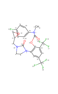 CN(C(=O)Oc1c(N2CCN(CC3CO3)C2=O)cc(C(F)(F)F)cc1C(F)(F)F)c1ccc(F)cc1